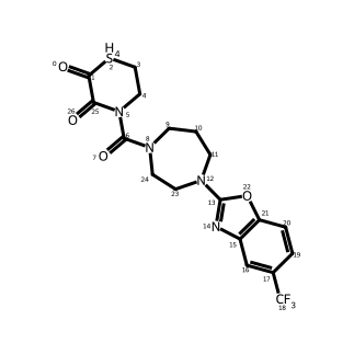 O=C1[SH4]CCN(C(=O)N2CCCN(c3nc4cc(C(F)(F)F)ccc4o3)CC2)C1=O